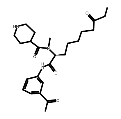 CCC(=O)CCCCC[C@@H](C(=O)Nc1cccc(C(C)=O)c1)N(C)C(=O)C1CCNCC1